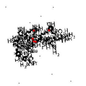 CC[C@H](C)[C@H](NC(=O)[C@@H]1C[C@@H](O)CN1C(=O)[C@@H](N)C(C)C)C(=O)N[C@@H](CN)C(=O)N[C@@H](Cc1ccc(O)cc1)C(=O)N[C@H](C(=O)N[C@@H](CC(N)=O)C(=O)N[C@@H](CCCNC(=N)N)C(=O)N[C@@H](CCN)C(=O)N[C@H](C(=O)N[C@H](CCN)C(=O)N[C@@H](CCCCN)C(=O)N[C@@H](CS)C(=O)N[C@@H](CCN)C(=O)N[C@@H](CCCNC(=N)N)C(=O)N[C@@H](Cc1ccc(O)cc1)C(=O)O)[C@@H](C)O)C(C)(C)S